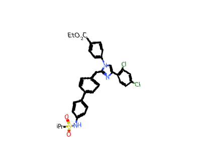 CCOC(=O)c1ccc(-n2cc(-c3ccc(Cl)cc3Cl)nc2Cc2ccc(-c3ccc(NS(=O)(=O)C(C)C)cc3)cc2)cc1